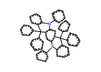 c1ccc(N2c3ccccc3C(c3ccccc3)(c3ccccc3)c3cc4c(cc32)C(c2ccccc2)(c2ccccc2)c2ccccc2N4c2ccccc2)cc1